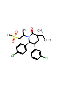 CC(C)C(CS(=O)(=O)C(C)C)N1C(=O)[C@@](C)(CC=O)C[C@H](c2cccc(Cl)c2)[C@H]1c1ccc(Cl)cc1